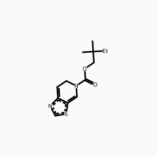 CCC(C)(C)COC(=O)N1C=c2scnc2=CC1